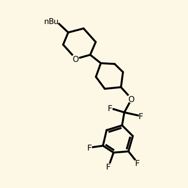 CCCCC1CCC(C2CCC(OC(F)(F)c3cc(F)c(F)c(F)c3)CC2)OC1